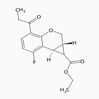 CCOC(=O)C1[C@H]2COc3c(C(=O)CC)ccc(F)c3[C@H]12